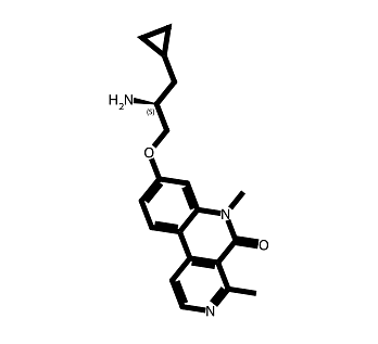 Cc1nccc2c1c(=O)n(C)c1cc(OC[C@@H](N)CC3CC3)ccc21